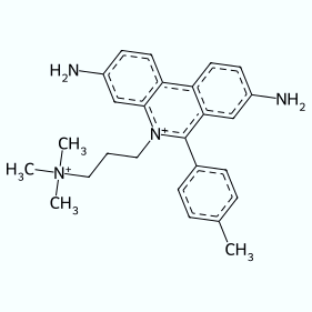 Cc1ccc(-c2c3cc(N)ccc3c3ccc(N)cc3[n+]2CCC[N+](C)(C)C)cc1